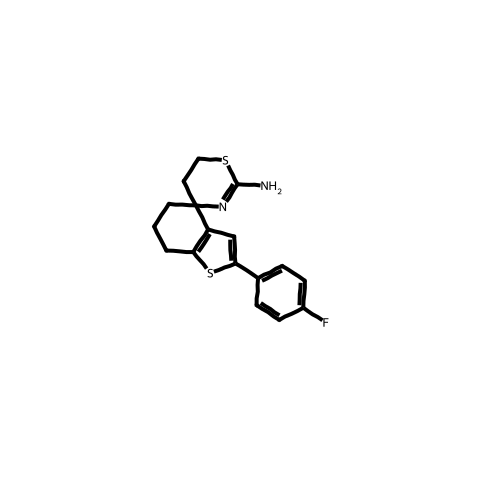 NC1=NC2(CCCc3sc(-c4ccc(F)cc4)cc32)CCS1